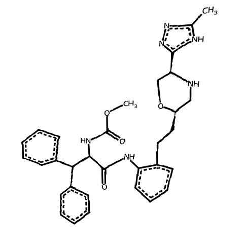 COC(=O)NC(C(=O)Nc1ccccc1CC[C@@H]1CN[C@H](c2nnc(C)[nH]2)CO1)C(c1ccccc1)c1ccccc1